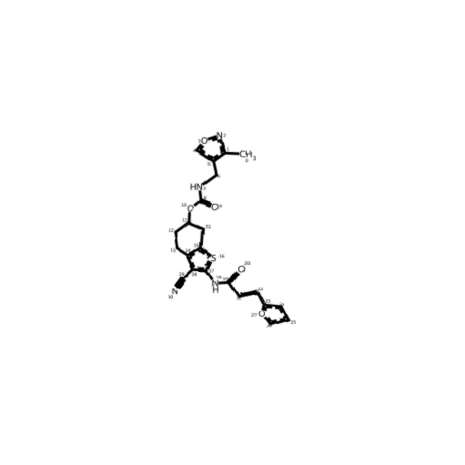 Cc1nocc1CNC(=O)OC1CCc2c(sc(NC(=O)C=Cc3ccco3)c2C#N)C1